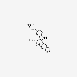 CC(C)c1c(-c2ccc3nccn3c2)[nH]c2ccc(C3CCNCC3)cc12